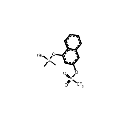 CC(C)(C)[Si](C)(C)Oc1cc(OS(=O)(=O)C(F)(F)F)cc2ccccc12